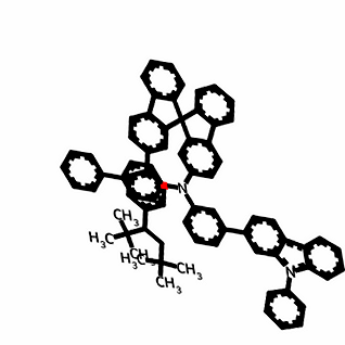 CC(C)(C)CC(c1ccc(-c2ccc3c(c2)C2(c4ccccc4-3)c3ccccc3-c3ccc(N(c4ccc(-c5ccccc5)cc4)c4cccc(-c5ccc6c7ccccc7n(-c7ccccc7)c6c5)c4)cc32)cc1)C(C)(C)C